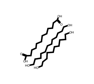 O=C(O)CCCCCCCCCCC(=O)O.OCCCCCCCCCCCCO.OCCCCCCCCCCO